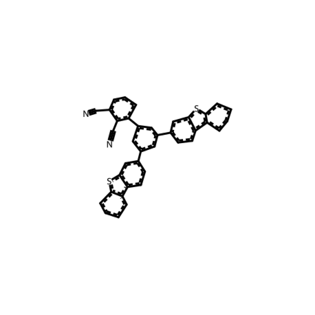 N#Cc1cccc(-c2cc(-c3ccc4c(c3)sc3ccccc34)cc(-c3ccc4c(c3)sc3ccccc34)c2)c1C#N